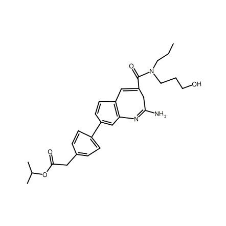 CCCN(CCCO)C(=O)C1=Cc2ccc(-c3ccc(CC(=O)OC(C)C)cc3)cc2N=C(N)C1